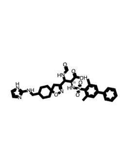 Cc1cc(-c2ccccc2)cc(C)c1S(=O)(=O)N[C@H](C(=O)O)C(NC=O)C1=NOC2(CCC(CNc3ncc[nH]3)CC2)C1